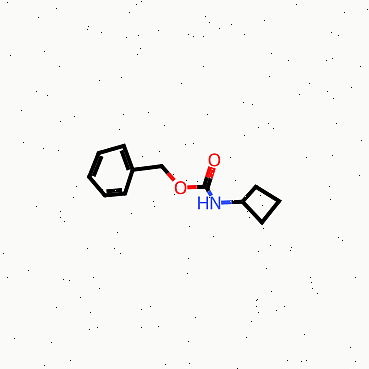 O=C(NC1CCC1)OCc1ccccc1